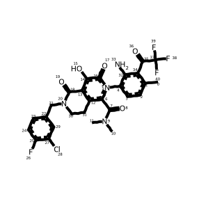 Cc1ccc(-n2c(C(=O)N(C)C)c3c(c(O)c2=O)C(=O)N(Cc2ccc(F)c(Cl)c2)CC3)c(N)c1C(=O)C(F)(F)F